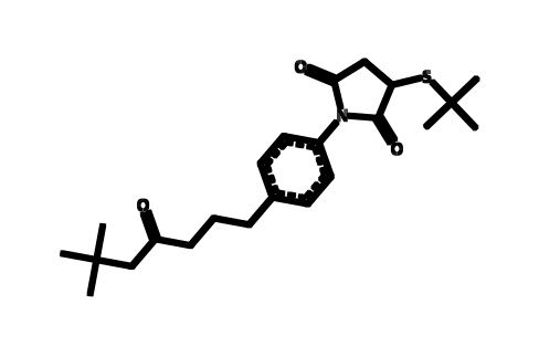 CC(C)(C)CC(=O)CCCc1ccc(N2C(=O)CC(SC(C)(C)C)C2=O)cc1